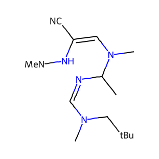 CNN/C(C#N)=C\N(C)C(C)/N=C\N(C)CC(C)(C)C